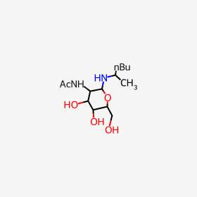 CCCCC(C)NC1OC(CO)C(O)C(O)C1NC(C)=O